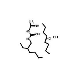 CCCCC(CC)CNC(=N)NC(=N)N.CCCCCCCC.Cl.Cl